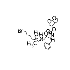 CC(C)(CCCCBr)CNCC(O)C(Cc1ccccc1)NC(=O)OC1COC2OCCC12